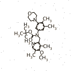 COc1c(C)cnc(CN(C(=O)OC(C)(C)C)c2cc(C)c(C)c(N3CCOCC3)c2)c1C